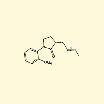 C/C=C/CC1CCN(c2ccccc2OC)C1=O